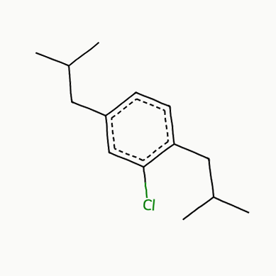 CC(C)Cc1ccc(CC(C)C)c(Cl)c1